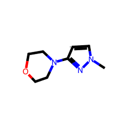 Cn1c[c]c(N2CCOCC2)n1